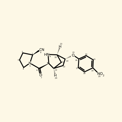 N#C[C@@H]1CCCN1C(=O)[C@H]1N[C@@H]2C[C@H]1C[C@H]2Oc1ccc([N+](=O)[O-])cc1